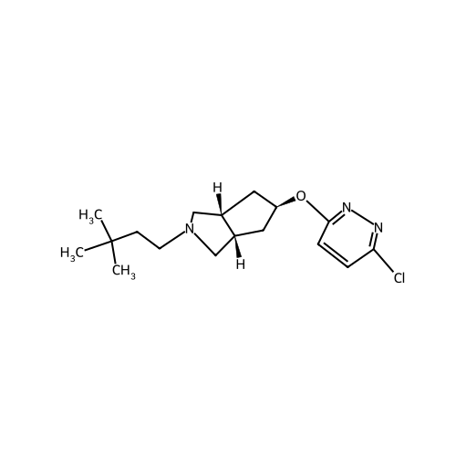 CC(C)(C)CCN1C[C@H]2C[C@H](Oc3ccc(Cl)nn3)C[C@H]2C1